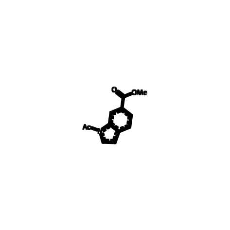 COC(=O)c1ccc2ccn(C(C)=O)c2c1